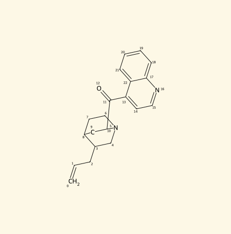 C=CCC1CN2CCC1CC2C(=O)c1ccnc2ccccc12